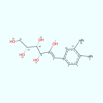 CCCc1ccc(C=C(O)[C@H](O)[C@@H](O)[C@H](O)CO)cc1CCC